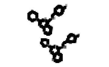 Fc1ccc(CNc2nc(N3CCCC3)nc3ncccc23)cc1.Fc1ccc(CNc2nc(N3CCCCC3)nc3ncccc23)cc1